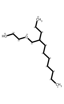 CCCCCCCC(CCC)COCCO